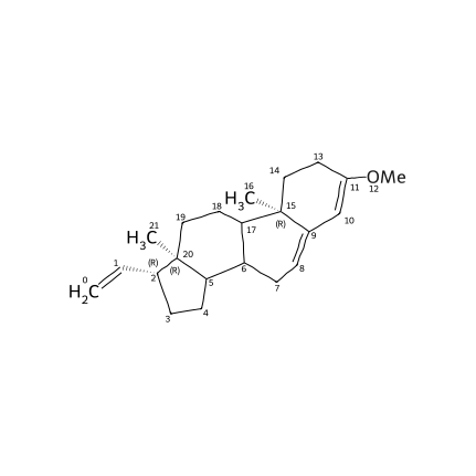 C=C[C@H]1CCC2C3CC=C4C=C(OC)CC[C@]4(C)C3CC[C@@]21C